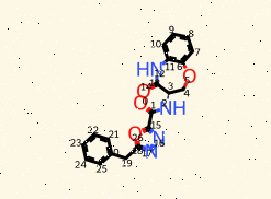 O=C(N[C@H]1COc2ccccc2NC1=O)c1nnc(Cc2ccccc2)o1